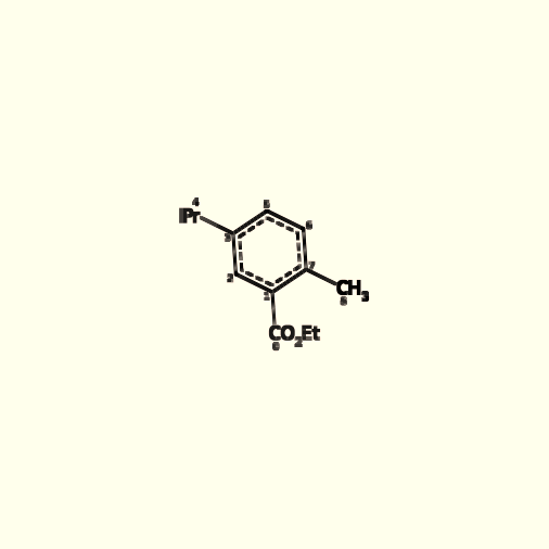 CCOC(=O)c1cc(C(C)C)ccc1C